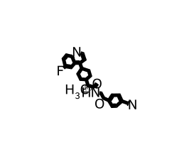 C[C@@H](C(=O)NCC(=O)c1ccc(C#N)cc1)C1CCC(c2ccnc3ccc(F)cc23)CC1